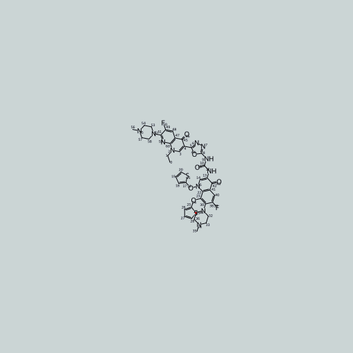 CCn1cc(-c2nnc(NC(=O)Nc3cn(Oc4cccs4)c4c(Oc5cccs5)c(N5CCN(C)CC5)c(F)cc4c3=O)o2)c(=O)c2cc(F)c(N3CCN(C)CC3)nc21